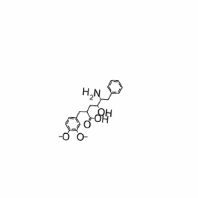 COc1ccc(CC(CC(O)C(N)Cc2ccccc2)C(=O)O)cc1OC